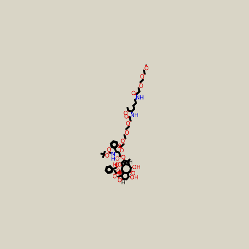 COCCOCCOCCC(=O)NCCCCC(NC(=O)COCCOCCOCC(=O)O[C@H](C(=O)OC1C[C@]2(O)[C@H](OC(=O)c3ccccc3)[C@H]3[C@@]4(OC(C)=O)CO[C@H]4C[C@@H](O)[C@]3(C)C(=O)[C@@H](O)[C@@H](C1C)C2(C)C)[C@H](NC(=O)OC(C)(C)C)c1ccccc1)C(C)=O